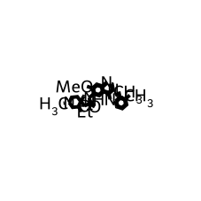 CCC1CN(C)CCC12CN(c1cc3c(Nc4cccc(C)c4C)ncnc3cc1OC)C(=O)O2